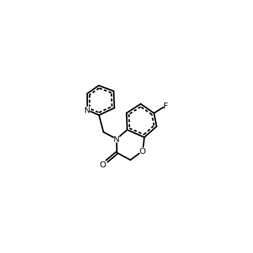 O=C1COc2cc(F)ccc2N1Cc1ccccn1